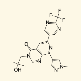 Cn1cc(-c2nc(-c3cnc(C(F)(F)F)nc3)cc3c(=O)n(CC(C)(C)O)cnc23)cn1